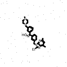 CCc1nc2c(C)cc(C)nc2n1Cc1cccc(C(=NO)c2cccc(CN3CCN(C)CC3)c2)c1